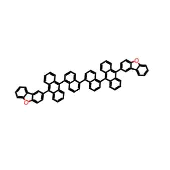 c1ccc2c(c1)oc1ccc(-c3c4ccccc4c(-c4cccc5c(-c6cccc7c(-c8c9ccccc9c(-c9ccc%10oc%11ccccc%11c%10c9)c9ccccc89)cccc67)cccc45)c4ccccc34)cc12